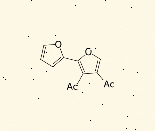 CC(=O)c1coc(-c2ccco2)c1C(C)=O